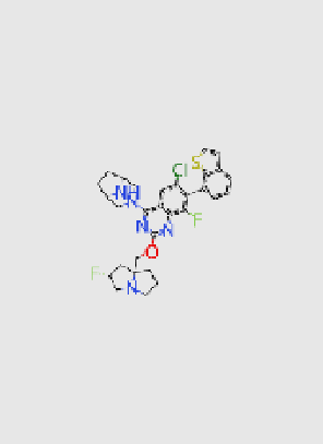 Fc1c(-c2cccc3ccsc23)c(Cl)cc2c(N3CC4CCC(C3)N4)nc(OC[C@@]34CCCN3C[C@H](F)C4)nc12